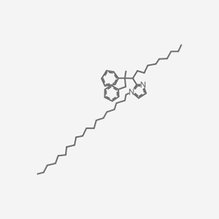 CCCCCCCCCCCCCCCCCCCn1ccnc1C(CCCCCCCCC)C(C)(Cc1ccccc1)c1ccccc1